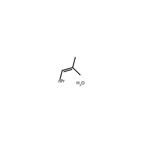 CCCC=C(C)C.O